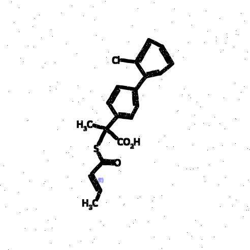 C/C=C/C(=O)SC(C)(C(=O)O)c1ccc(-c2ccccc2Cl)cc1